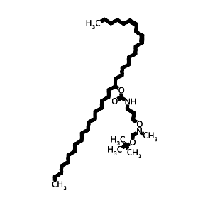 CCCCC/C=C\C/C=C\CCCCCCCC(CCCCCCCCCCCCCCCCCC)OC(=O)NCCCON(C)COC(C)(C)C